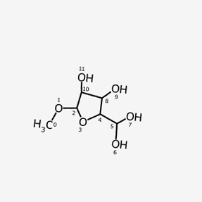 COC1OC(C(O)O)C(O)C1O